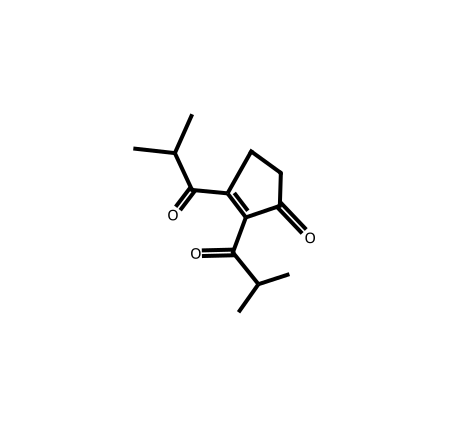 CC(C)C(=O)C1=C(C(=O)C(C)C)C(=O)CC1